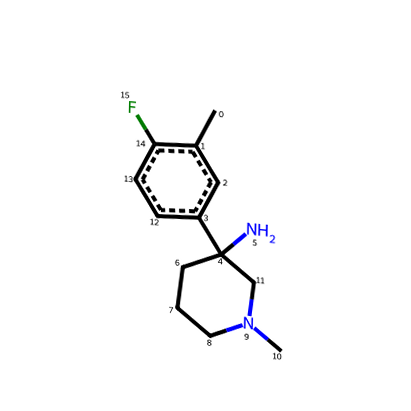 Cc1cc(C2(N)CCCN(C)C2)ccc1F